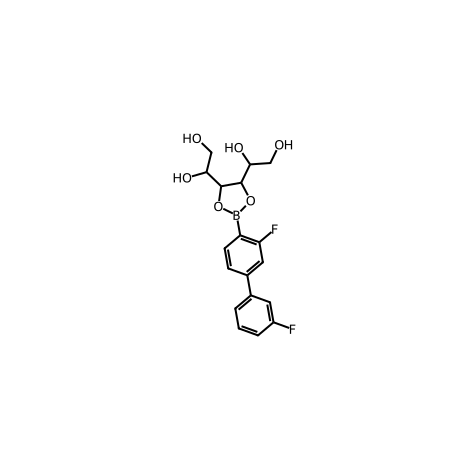 OCC(O)C1OB(c2ccc(-c3cccc(F)c3)cc2F)OC1C(O)CO